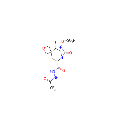 O=C(NNC(=O)C(F)(F)F)[C@@H]1CC2(COC2)[C@@H]2CN1C(=O)N2OS(=O)(=O)O